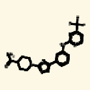 NC(=O)C1CCN(c2nc(-c3cccc(Nc4nccc(C(F)(F)F)n4)c3)cs2)CC1